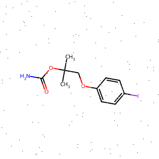 CC(C)(COc1ccc(I)cc1)OC(N)=O